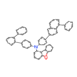 c1ccc(-c2ccccc2-c2ccc(N(c3ccc(-c4ccc5c(-c6ccccc6)cccc5c4)cc3)c3cccc4oc5ccccc5c34)cc2)cc1